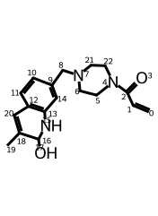 C=CC(=O)N1CCN(Cc2ccc3c(c2)NC(O)C(C)=C3)CC1